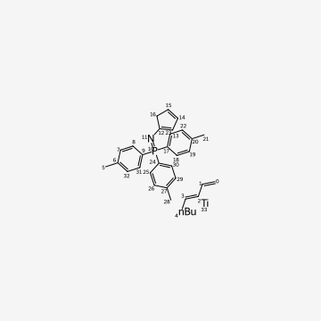 C=CC=CCCCC.Cc1ccc(P(=NC2=CC=CC2)(c2ccc(C)cc2)c2ccc(C)cc2)cc1.[Ti]